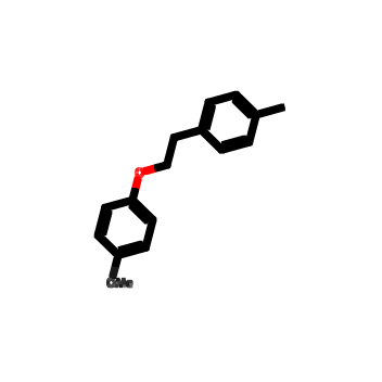 COc1ccc(OCCc2ccc(C)cc2)cc1